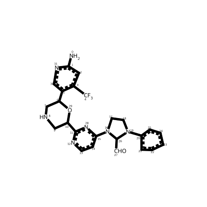 Nc1cc(C(F)(F)F)c(C2CNCC(c3nccc(N4CCN(c5ccccc5)C4C=O)n3)O2)cn1